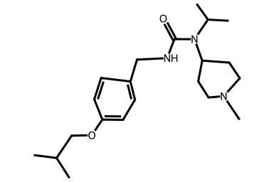 CC(C)COc1ccc(CNC(=O)N(C(C)C)C2CCN(C)CC2)cc1